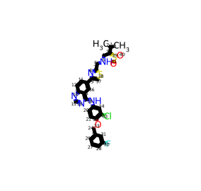 CC(C)C(CNCc1nc(-c2ccc3ncnc(Nc4ccc(OCc5cccc(F)c5)c(Cl)c4)c3c2)cs1)=S(=O)=O